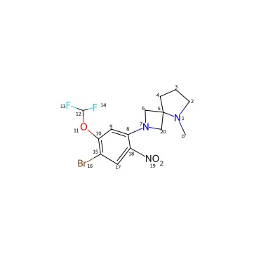 CN1CCCC12CN(c1cc(OC(F)F)c(Br)cc1[N+](=O)[O-])C2